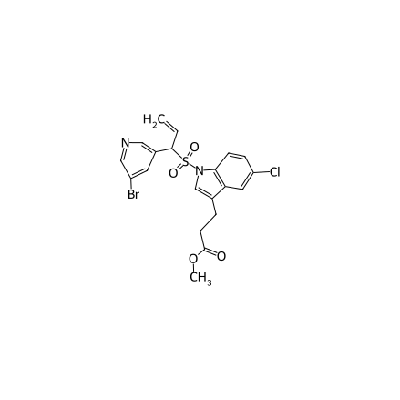 C=CC(c1cncc(Br)c1)S(=O)(=O)n1cc(CCC(=O)OC)c2cc(Cl)ccc21